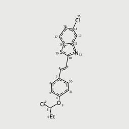 CCC(Cl)Oc1ccc(/C=C/c2nc3cc(Cl)ccc3s2)cc1